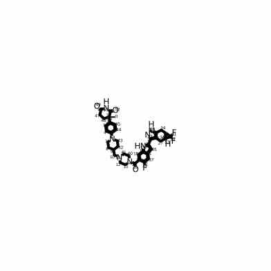 C[C@@]1(c2ccc(N3CCC(CN4CCN(C(=O)c5cc6[nH]c(-c7n[nH]c8c7C[C@@H]7C(F)(F)[C@]7(C)C8)cc6cc5F)CC4)CC3)cc2)CCC(=O)NC1=O